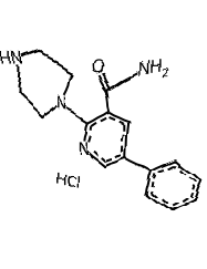 Cl.NC(=O)c1cc(-c2ccccc2)cnc1N1CCNCC1